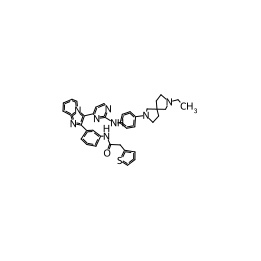 CCN1CCC2(CCN(c3ccc(Nc4nccc(-c5c(-c6cccc(NC(=O)Cc7cccs7)c6)nc6ccccn56)n4)cc3)C2)C1